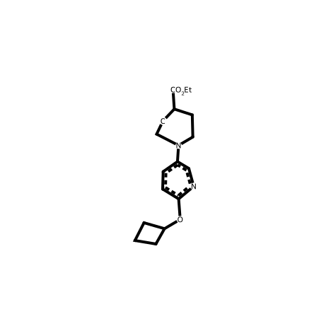 CCOC(=O)C1CCN(c2ccc(OC3CCC3)nc2)CC1